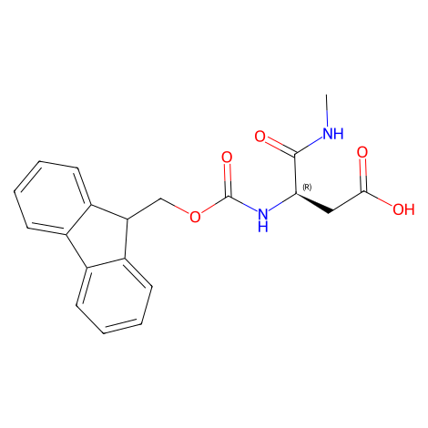 CNC(=O)[C@@H](CC(=O)O)NC(=O)OCC1c2ccccc2-c2ccccc21